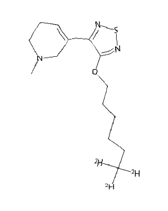 [2H]C([2H])([2H])CCCCCOc1nsnc1C1=CCCN(C)C1